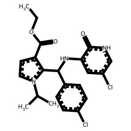 CCOC(=O)c1ccn(C(C)C)c1C(Nc1cc(Cl)c[nH]c1=O)c1ccc(Cl)cc1